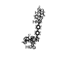 COC(=O)NC(C(=O)N1CCCC1c1ncc(-c2ccc(-c3ccc(-c4cnc(C5CN(C(=O)O)CN5C(=O)C(NC(=O)OC)C(C)C)[nH]4)cc3)cc2)[nH]1)C(C)C